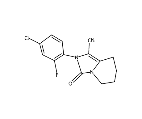 N#Cc1c2n(c(=O)n1-c1ccc(Cl)cc1F)CCCC2